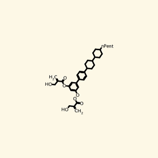 C=C(CO)C(=O)OOc1cc(OC(=O)C(=C)CO)cc(-c2ccc(C3CCC(C4CCC(CCCCC)CC4)CC3)cc2)c1